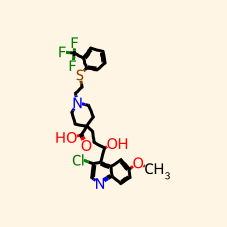 COc1ccc2ncc(Cl)c(C(O)CCC3(C(=O)O)CCN(CCSc4ccccc4C(F)(F)F)CC3)c2c1